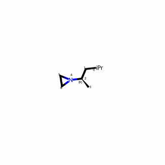 CC(C)C[C@@H](C)N1CC1